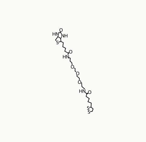 O=C(CCCCC1CCSS1)NCCCOCCOCCOCCCNC(=O)CCCCC1SCC2NC(=O)NC21